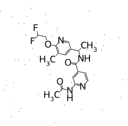 CC(=O)Nc1cc(C(=O)NC(C)c2cnc(OCC(F)F)c(C)c2)ccn1